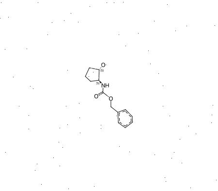 [O][C@H]1CCC[C@@H]1NC(=O)OCc1ccccc1